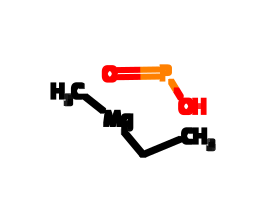 C[CH2][Mg][CH3].O=PO